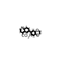 O=C(O)c1ccnc2ccc(-c3ccc4c(c3)OCCO4)cc12